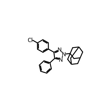 Clc1ccc(-c2nn(C34CC5CC(CC(C5)C3)C4)nc2-c2ccccc2)cc1